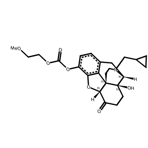 COCCOC(=O)Oc1ccc2c3c1O[C@H]1C(=O)CC[C@@]4(O)[C@@H](C2)N(CC2CC2)CC[C@]314